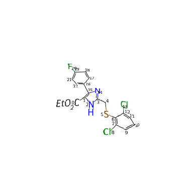 CCOC(=O)c1[nH]c(CSc2c(Cl)cccc2Cl)nc1-c1ccc(F)cc1